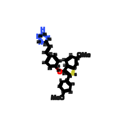 COc1ccc(-c2sc3cc(OC)ccc3c2Oc2ccc(C=Cc3nn[nH]n3)cc2)cc1